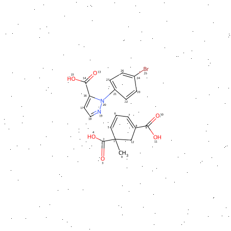 CC1(C(=O)O)C=CC=C(C(=O)O)C1.O=C(O)c1ccnn1-c1ccc(Br)cc1